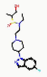 CCN(CCN1CCC(n2ncc3cc(F)ccc32)CC1)[S+]([O-])C(C)CO